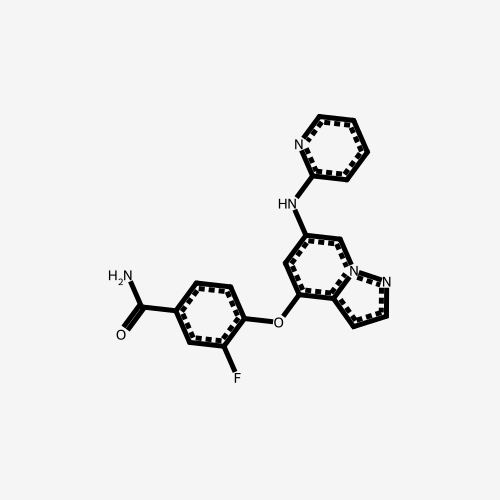 NC(=O)c1ccc(Oc2cc(Nc3ccccn3)cn3nccc23)c(F)c1